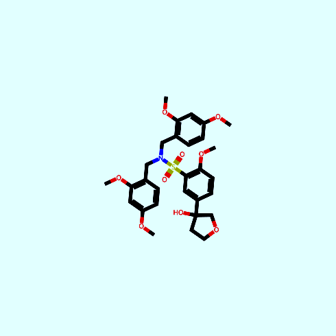 COc1ccc(CN(Cc2ccc(OC)cc2OC)S(=O)(=O)c2cc(C3(O)CCOC3)ccc2OC)c(OC)c1